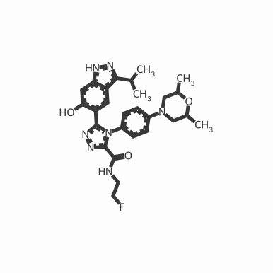 CC1CN(c2ccc(-n3c(C(=O)NCCF)nnc3-c3cc4c(C(C)C)n[nH]c4cc3O)cc2)CC(C)O1